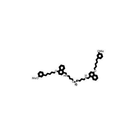 COc1cccc(CCCCCOc2ccc(CNCCCO[PH](=O)OCCCNCc3ccc(OCCCCCc4cccc(OC)c4)c4ccccc34)c3ccccc23)c1